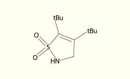 CC(C)(C)C1=C(C(C)(C)C)S(=O)(=O)NC1